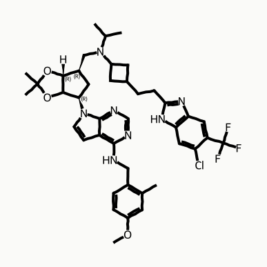 COc1ccc(CNc2ncnc3c2ccn3[C@@H]2C[C@H](CN(C(C)C)C3CC(CCc4nc5cc(C(F)(F)F)c(Cl)cc5[nH]4)C3)[C@H]3OC(C)(C)OC23)c(C)c1